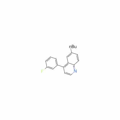 CCCCc1ccc2nccc(-c3cccc(F)c3)c2c1